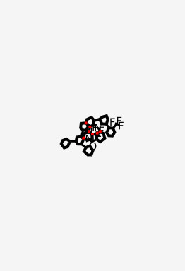 O=C1c2cccc(-n3c4c(-c5ccccc5C(F)(F)F)cccc4c4cccc(-c5ccccc5C(F)(F)F)c43)c2C(=O)N1c1c(-c2ccccc2)cc(-c2ccccc2)cc1-c1ccccc1